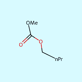 C[CH]CCOC(=O)OC